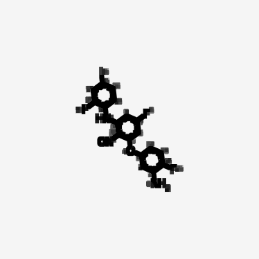 Nc1cc(Oc2cc(F)cc(Nc3ccc(I)cc3F)c2N=O)ccc1F